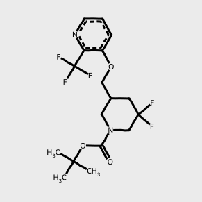 CC(C)(C)OC(=O)N1CC(COc2cccnc2C(F)(F)F)CC(F)(F)C1